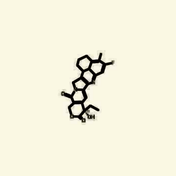 CC[C@@]1(O)C(=O)OCc2c1cc1n(c2=O)CC2=C1N=C1C=C(F)C(C)=C3CCCC2C13